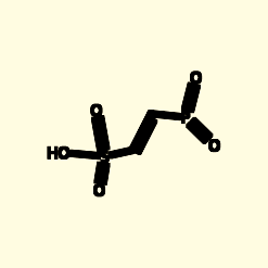 O=P(=O)C=CS(=O)(=O)O